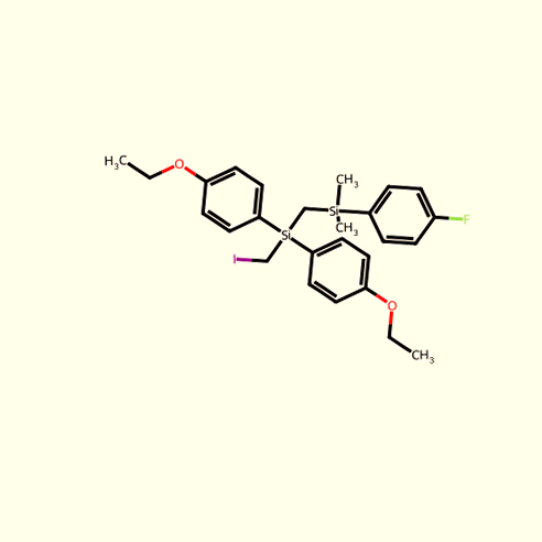 CCOc1ccc([Si](CI)(C[Si](C)(C)c2ccc(F)cc2)c2ccc(OCC)cc2)cc1